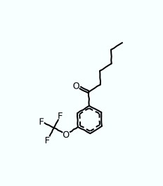 CCCCCC(=O)c1cccc(OC(F)(F)F)c1